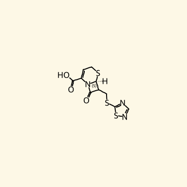 O=C(O)C1=CCS[C@H]2C(CSc3ncns3)C(=O)N12